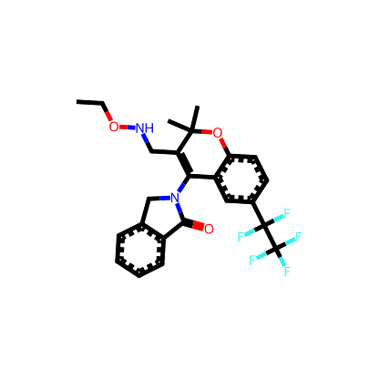 CCONCC1=C(N2Cc3ccccc3C2=O)c2cc(C(F)(F)C(F)(F)F)ccc2OC1(C)C